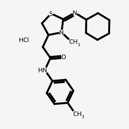 Cc1ccc(NC(=O)CC2CSC(=NC3CCCCC3)N2C)cc1.Cl